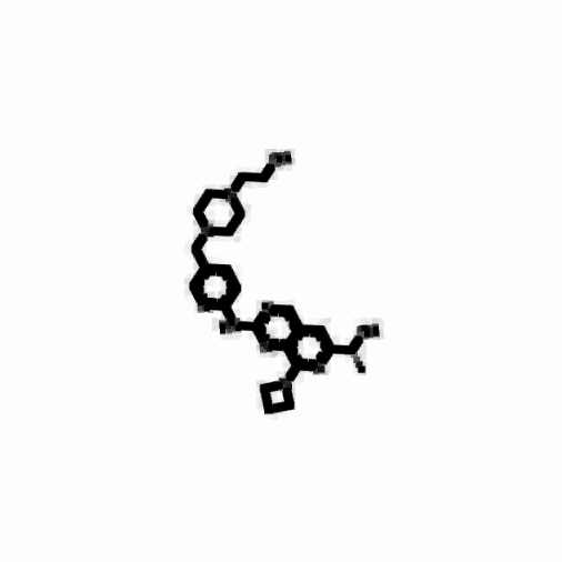 C[C@@H](O)c1cc2cnc(Nc3ccc(CN4CCN(CCO)CC4)cn3)nc2c(N2CCC2)n1